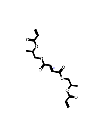 C=CC(=O)OC(C)COC(=O)/C=C/C(=O)OCC(C)OC(=O)C=C